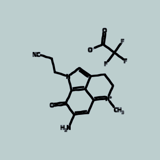 C[N+]1=C2C=C(N)C(=O)c3c2c(cn3CCC#N)CC1.O=C([O-])C(F)(F)F